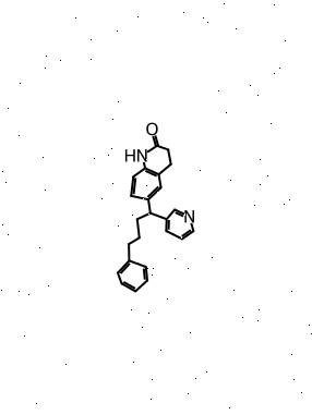 O=C1CCc2cc(C(CCCc3ccccc3)c3cccnc3)ccc2N1